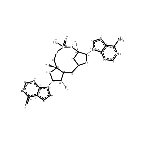 Nc1ncnc2c1ncn2[C@@H]1OC2CC3[C@@H](COP(=O)(S)O[C@@H]1C2)O[C@@H](n1ccc2c(=O)[nH]cnc21)[C@H]3F